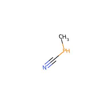 CPC#N